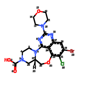 O=C(O)N1CCN2c3nc(N4CCOCC4)nc4cc(Br)c(Cl)c(c34)OC[C@@H]2C1